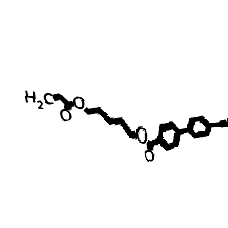 C=CC(=O)OCCCCCOC(=O)c1ccc(-c2ccc(C#N)cc2)cc1